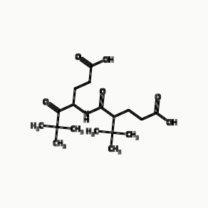 CC(C)(C)C(=O)C(CCC(=O)O)NC(=O)C(CCC(=O)O)C(C)(C)C